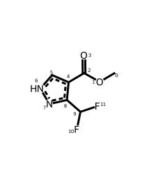 COC(=O)c1c[nH]nc1C(F)F